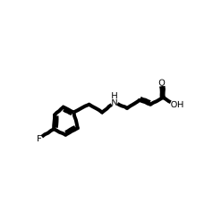 O=C(O)C=CCNCCc1ccc(F)cc1